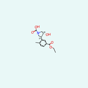 CCOC(=O)c1ccc(C)c([C@H]2CN(C(=O)O)C[C@@H]2O)c1